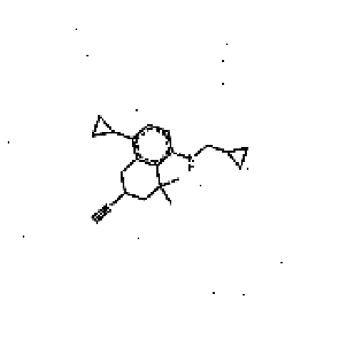 C#CC1Cc2c(C3CC3)ccc(NCC3CC3)c2C(C)(C)C1